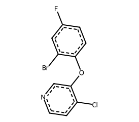 Fc1ccc(Oc2cnccc2Cl)c(Br)c1